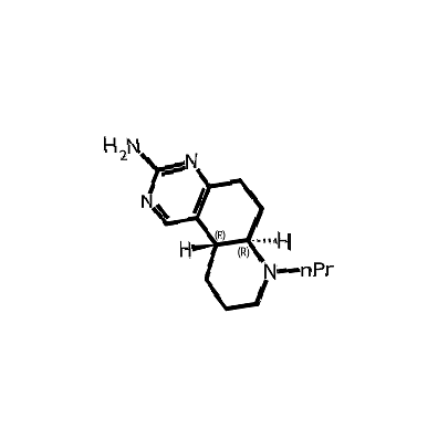 CCCN1CCC[C@@H]2c3cnc(N)nc3CC[C@H]21